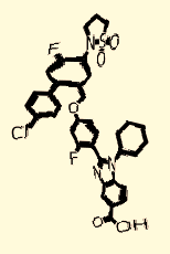 O=C(O)c1ccc2c(c1)nc(-c1ccc(OCc3cc(N4CCCS4(=O)=O)c(F)cc3-c3ccc(Cl)cc3)cc1F)n2C1CCCCC1